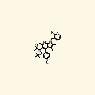 CC(=O)[C@@H](OC(C)(C)C)c1c(C)nc2c(c(C)c(C)n2Cc2cccnc2F)c1-c1ccc(Cl)cc1